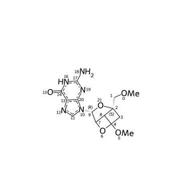 COC[C@]12CC3(OC)OC(C31)[C@H](n1cnc3c(=O)[nH]c(N)nc31)O2